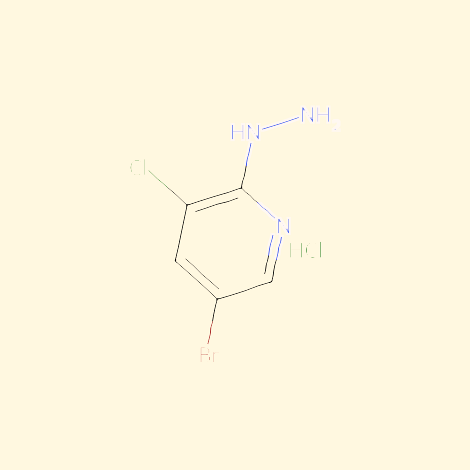 Cl.NNc1ncc(Br)cc1Cl